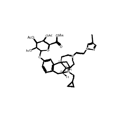 COC(=O)C1OC(Oc2ccc3c(c2)[C@@]24CCN(CCn5cc(C)cn5)CC[C@@]2(O)[C@@H](C3)N(CC2CC2)CC4)C(OC(C)=O)C(OC(C)=O)C1OC(C)=O